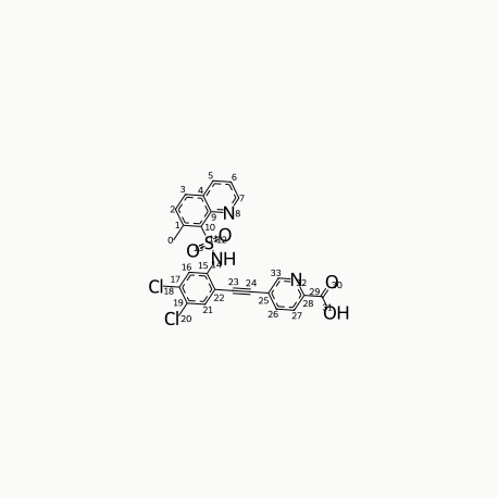 Cc1ccc2cccnc2c1S(=O)(=O)Nc1cc(Cl)c(Cl)cc1C#Cc1ccc(C(=O)O)nc1